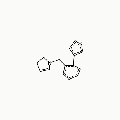 C1=CN(Cc2ccccc2-c2ccsc2)CC1